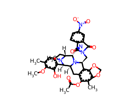 COc1c(C)cc2c(c1O)[C@@H]1[C@@H]3Cc4c(OC(C)=O)c(C)c5c(c4[C@H](CN4C(=O)c6ccc([N+](=O)[O-])cc6C4=O)N3[C@@H](C#N)[C@@H](C2)N1C)OCO5